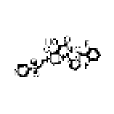 O=C1c2c(O)c(=O)nc([C@@H]3CCCN3C(=O)c3c(F)cccc3F)n2CCN1CCS(=O)(=O)c1ccncc1